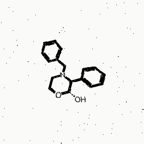 O[C@@H]1OCCN(Cc2ccccc2)C1c1ccccc1